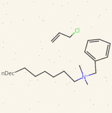 C=CCCl.CCCCCCCCCCCCCCCC[N+](C)(C)Cc1ccccc1